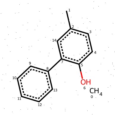 C.Cc1ccc(O)c(-c2ccccc2)c1